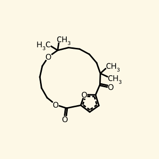 CC1(C)CCCCC(C)(C)C(=O)c2ccc(o2)C(=O)OCCCCO1